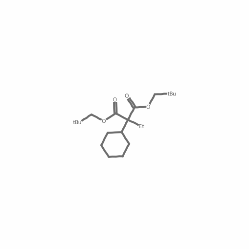 CCC(C(=O)OCC(C)(C)C)(C(=O)OCC(C)(C)C)C1CCCCC1